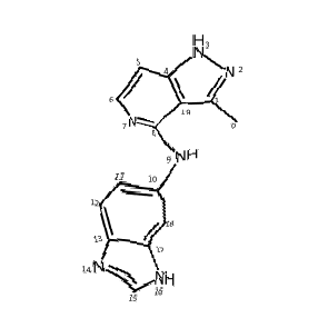 Cc1n[nH]c2ccnc(Nc3ccc4nc[nH]c4c3)c12